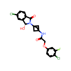 O=C(COc1ccc(Cl)c(F)c1)NC12CC(N3C(=O)c4ccc(Cl)cc4[C@H]3O)(C1)C2